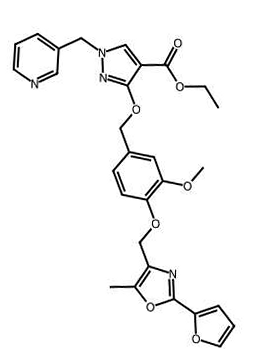 CCOC(=O)c1cn(Cc2cccnc2)nc1OCc1ccc(OCc2nc(-c3ccco3)oc2C)c(OC)c1